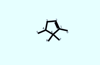 CC1=CCC(C)C1(C)C